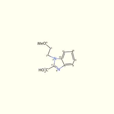 COCCn1c(C(=O)O)nc2ccccc21